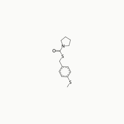 CSc1ccc(CSC(=O)N2CCCC2)cc1